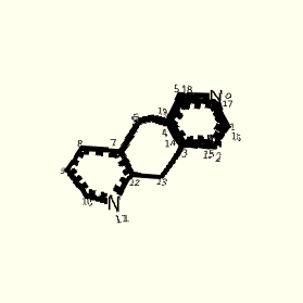 c1ccc2c(c1)C1c3cccnc3C2c2ncncc21